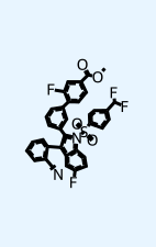 COC(=O)c1ccc(-c2cccc(-c3c(-c4ccccc4C#N)c4cc(F)ccc4n3S(=O)(=O)c3ccc(C(F)F)cc3)c2)c(F)c1